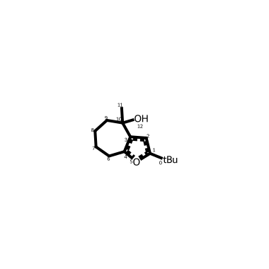 CC(C)(C)c1cc2c(o1)CCCCC2(C)O